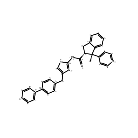 C[C@]1(c2ccncc2)c2ccccc2C[C@@H]1C(=O)Nc1nc(Cc2ccc(-c3ccncc3)cc2)cs1